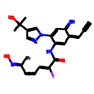 C#C/C=C1/C=C(NC(=O)/C(I)=C/C=C\C(=N\O)C(C)C)C(n2cc(C(C)(C)O)cn2)=CC1=N